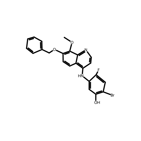 COc1c(OCc2ccccc2)ccc2c(Nc3cc(O)c(Br)cc3F)ccnc12